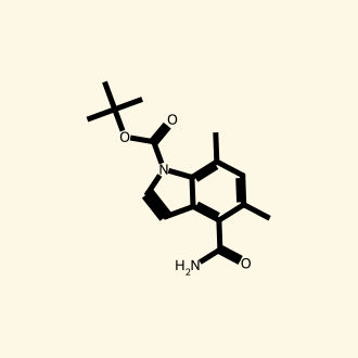 Cc1cc(C)c2c(c#cn2C(=O)OC(C)(C)C)c1C(N)=O